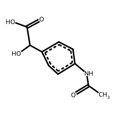 CC(=O)Nc1ccc(C(O)C(=O)O)cc1